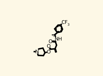 C=C(CC(=O)N[C@@H](C)c1ccc(C(F)(F)F)cc1)C(=O)OC1CCN(C)CC1